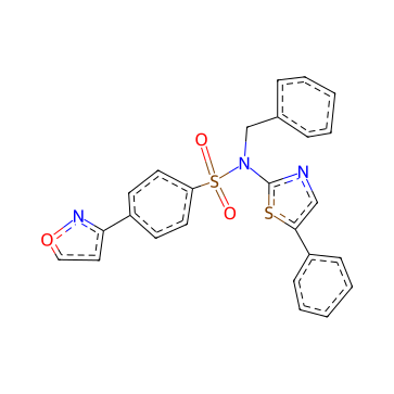 O=S(=O)(c1ccc(-c2ccon2)cc1)N(Cc1ccccc1)c1ncc(-c2ccccc2)s1